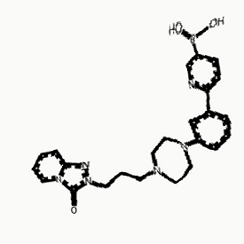 O=c1n(CCCN2CCN(c3cccc(-c4ccc(B(O)O)cn4)c3)CC2)nc2ccccn12